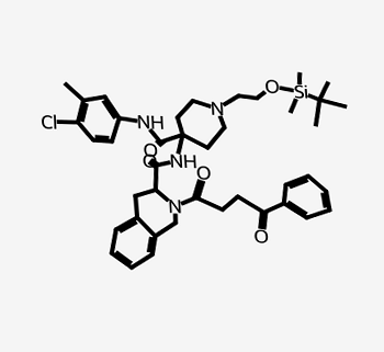 Cc1cc(NC(=O)C2(NC(=O)C3Cc4ccccc4CN3C(=O)CCC(=O)c3ccccc3)CCN(CCO[Si](C)(C)C(C)(C)C)CC2)ccc1Cl